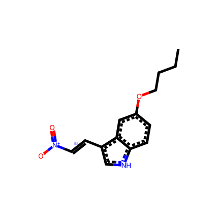 CCCCOc1ccc2[nH]cc(/C=C/[N+](=O)[O-])c2c1